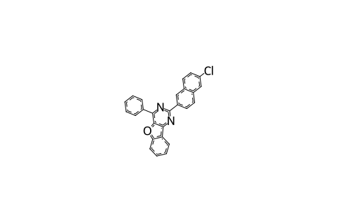 Clc1ccc2cc(-c3nc(-c4ccccc4)c4oc5ccccc5c4n3)ccc2c1